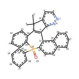 CC1(C)C2=C(c3nnccc31)c1c(ccc3ccccc13)P(=O)(c1ccccc1)c1ccccc12